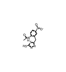 CC(=O)Nc1ccc([N+](=O)[O-])cc1Cc1nnc(S)s1